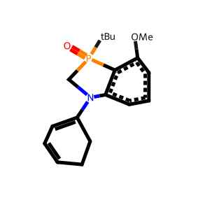 COc1cccc2c1P(=O)(C(C)(C)C)CN2C1=CC=CCC1